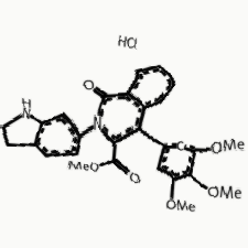 COC(=O)c1c(-c2cc(OC)c(OC)c(OC)c2)c2ccccc2c(=O)n1-c1ccc2c(c1)NCC2.Cl